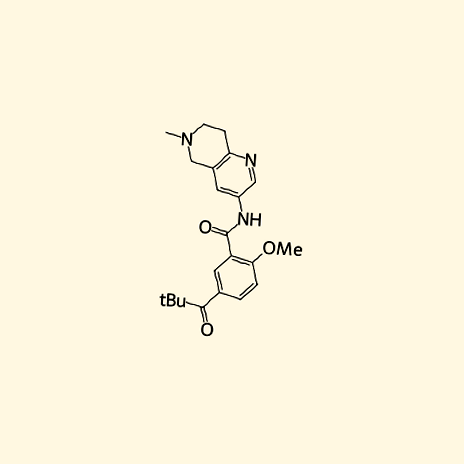 COc1ccc(C(=O)C(C)(C)C)cc1C(=O)Nc1cnc2c(c1)CN(C)CC2